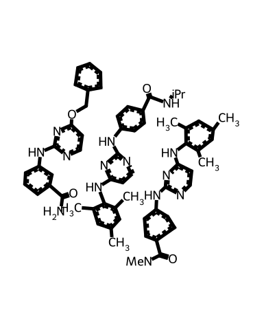 CNC(=O)c1ccc(Nc2nccc(Nc3c(C)cc(C)cc3C)n2)cc1.Cc1cc(C)c(Nc2ccnc(Nc3ccc(C(=O)NC(C)C)cc3)n2)c(C)c1.NC(=O)c1cccc(Nc2nccc(OCc3ccccc3)n2)c1